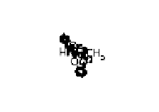 CC1=C(C(=O)OCc2ccccc2)N2C(=O)[C@H](NC(=O)Cc3ccccc3)[C@H]2SC1